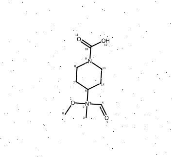 CO[N+](C)(C=O)C1CCN(C(=O)O)CC1